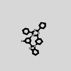 Fc1cc(F)cc(-c2nc3ccccc3n2-c2cccc(-c3nc(-c4ccccc4)nc(-c4ccccc4)n3)c2)c1